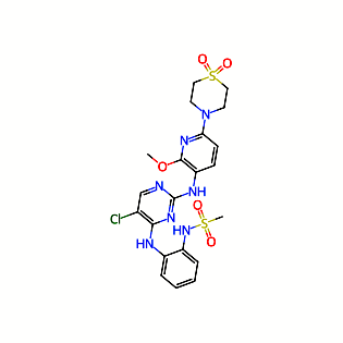 COc1nc(N2CCS(=O)(=O)CC2)ccc1Nc1ncc(Cl)c(Nc2ccccc2NS(C)(=O)=O)n1